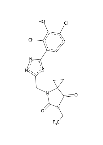 O=C1N(CC(F)(F)F)C(=O)C2(CC2)N1Cc1nnc(-c2ccc(Cl)c(O)c2Cl)s1